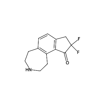 O=C1c2c(ccc3c2CCNCC3)CC1(F)F